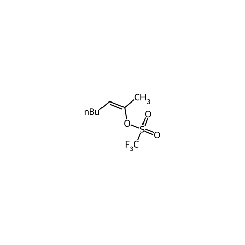 CCCCC=C(C)OS(=O)(=O)C(F)(F)F